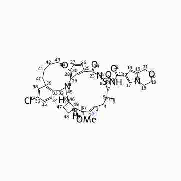 CO[C@H]1/C=C/C[C@H](C)C[S@@](=O)(NC(=O)c2cc3n(c2)CCOC3)=NC(=O)c2ccc3c(c2)N(Cc2ccc(Cl)cc2CCCCO3)C[C@@H]2CC[C@H]21